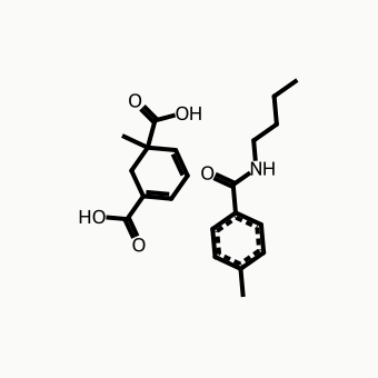 CC1(C(=O)O)C=CC=C(C(=O)O)C1.CCCCNC(=O)c1ccc(C)cc1